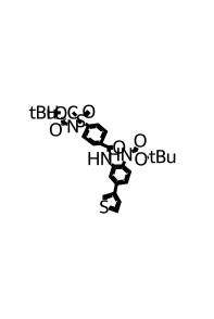 CC(C)(C)OC(=O)N=S(C)(=O)c1ccc(C(=O)Nc2cc(-c3ccsc3)ccc2NC(=O)OC(C)(C)C)cc1